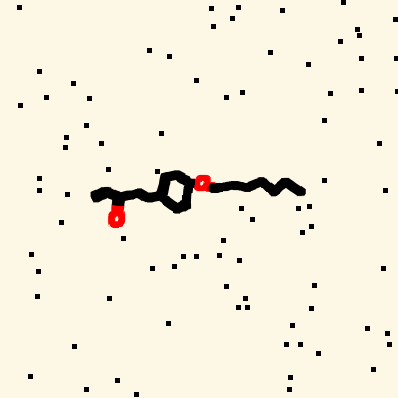 C=CC(=O)CCC1=CCC(OCCCCCCC)CC1